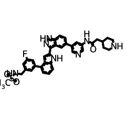 CS(=O)(=O)NCc1cc(F)cc(-c2cccc3[nH]c(-c4n[nH]c5ccc(-c6cncc(NC(=O)CC7CCNCC7)c6)cc45)cc23)c1